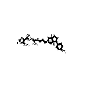 CC1=C(/C(C)=N/N=C(\C)SCCCN2C[C@H]3CCC(c4ccc(C(F)(F)F)cc4)[C@H]3C2)OCN1